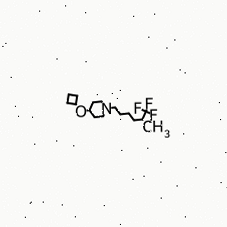 CC(CCCCN1CCC(OC2CCC2)CC1)C(F)(F)F